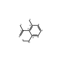 C=C(C)c1c(C)cccc1CC